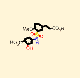 COc1ccc(/C=C/C(=O)O)cc1S(=O)(=O)Nc1ccc(C(=O)O)c(O)c1